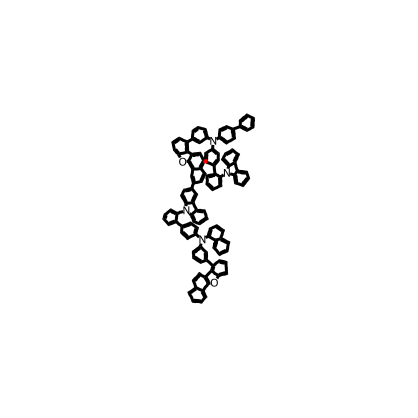 c1ccc(-c2ccc(N(c3ccc(-c4ccccc4-n4c5ccccc5c5ccccc54)cc3)c3cccc(-c4cccc5oc6c7cc(-c8ccc9c(c8)c8ccccc8n9-c8ccccc8-c8ccc(N(c9cccc(-c%10cccc%11oc%12c%13ccccc%13ccc%12c%10%11)c9)c9cccc%10ccccc9%10)cc8)ccc7ccc6c45)c3)cc2)cc1